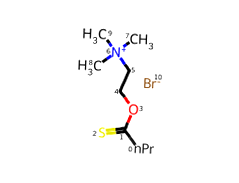 CCCC(=S)OCC[N+](C)(C)C.[Br-]